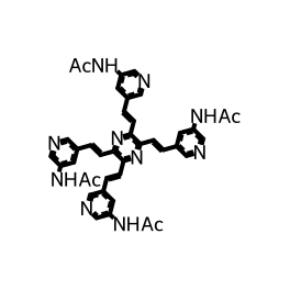 CC(=O)Nc1cncc(C=Cc2nc(C=Cc3cncc(NC(C)=O)c3)c(C=Cc3cncc(NC(C)=O)c3)nc2C=Cc2cncc(NC(C)=O)c2)c1